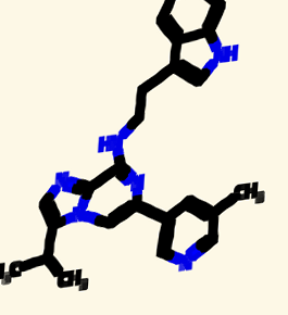 Cc1cncc(-c2cn3c(C(C)C)cnc3c(NCCc3c[nH]c4ccccc34)n2)c1